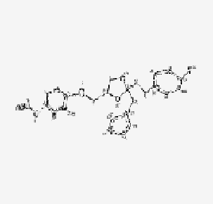 CCCCOc1ccc(OCC2COC(CCc3ccc(F)cc3)(Cn3ccnc3)O2)cc1